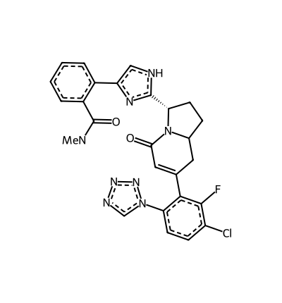 CNC(=O)c1ccccc1-c1c[nH]c([C@@H]2CCC3CC(c4c(-n5cnnn5)ccc(Cl)c4F)=CC(=O)N32)n1